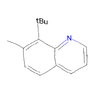 Cc1ccc2cccnc2c1C(C)(C)C